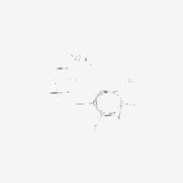 CC(C)(C)C(Cc1cc(O)c(Cl)nc1I)OC(N)=O